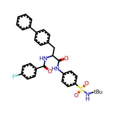 CC(C)(C)NS(=O)(=O)c1ccc(NC(=O)C(Cc2ccc(-c3ccccc3)cc2)NC(=O)c2ccc(F)cc2)cc1